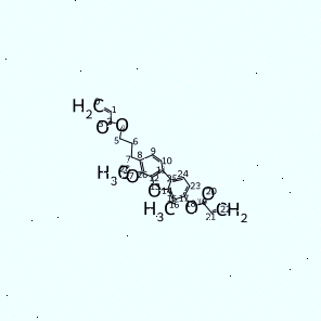 C=CC(=O)OCCCc1ccc2c(oc3c(C)c(OC(=O)C=C)ccc32)c1OC